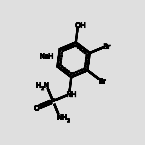 NP(N)(=O)Nc1ccc(O)c(Br)c1Br.[NaH]